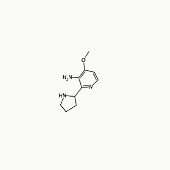 COc1ccnc(C2CCCN2)c1N